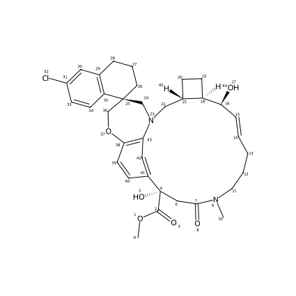 COC(=O)[C@]1(O)CC(=O)N(C)CCC/C=C/[C@H](O)[C@@H]2CC[C@H]2CN2C[C@@]3(CCCc4cc(Cl)ccc43)COc3ccc1cc32